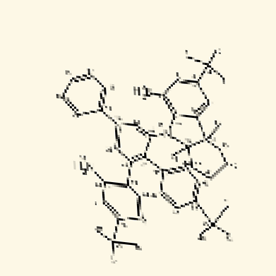 Bc1cc(C(C)(C)C)cc2c1N(c1cc(-c3ccccc3)cc(-c3ccc(C(C)(C)C)cc3N)c1-c1ccc(C(C)(C)C)cc1)C1(C)CCCCC21C